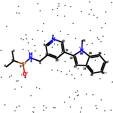 CC(C)[S+]([O-])NCc1cncc(-c2cc3ccccc3n2C)c1